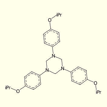 CC(C)Oc1ccc(N2CN(c3ccc(OC(C)C)cc3)CN(c3ccc(OC(C)C)cc3)C2)cc1